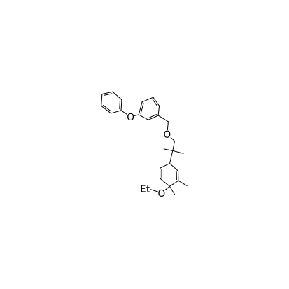 CCOC1(C)C=CC(C(C)(C)COCc2cccc(Oc3ccccc3)c2)C=C1C